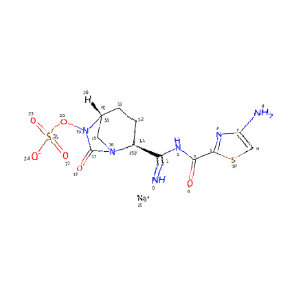 N=C(NC(=O)c1nc(N)cs1)[C@@H]1CC[C@@H]2CN1C(=O)N2OS(=O)(=O)[O-].[Na+]